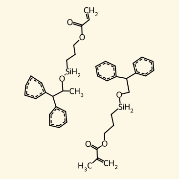 C=C(C)C(=O)OCCC[SiH2]OCC(c1ccccc1)c1ccccc1.C=CC(=O)OCCC[SiH2]OC(C)C(c1ccccc1)c1ccccc1